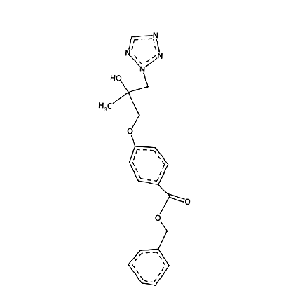 CC(O)(COc1ccc(C(=O)OCc2ccccc2)cc1)Cn1ncnn1